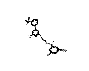 COc1cc(F)cc([C@@H](C)NCCOc2cc(-c3cccc(S(C)(=O)=O)c3)cc(C(F)(F)F)c2)c1